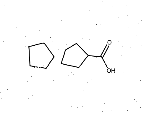 C1CCCC1.O=C(O)C1CCCC1